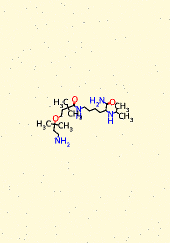 CC(C)NC(CCCCNC(=O)C(C)(C)CCOC(C)(C)CCN)C(N)=O